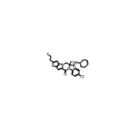 CC1(C(=O)NC2CCCCC2)Cn2c(cc3sc(CCF)cc32)C(=O)N1c1ccc(Cl)cc1